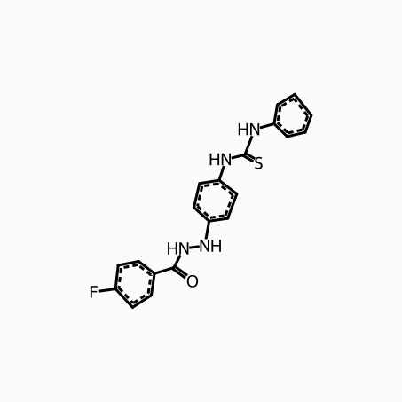 O=C(NNc1ccc(NC(=S)Nc2ccccc2)cc1)c1ccc(F)cc1